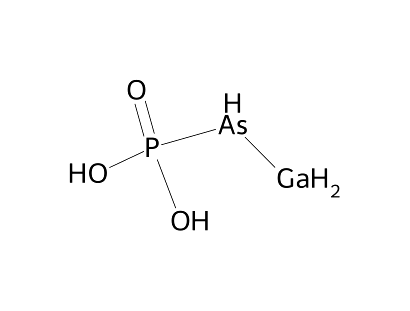 O=P(O)(O)[AsH][GaH2]